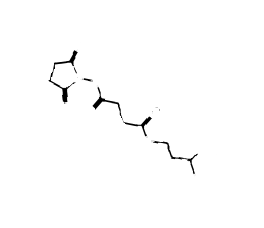 CC(C)CCOC(=O)CCC(=O)ON1C(=O)CCC1=O